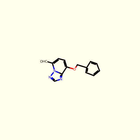 O=Cc1ccc(OCc2ccccc2)c2ncnn12